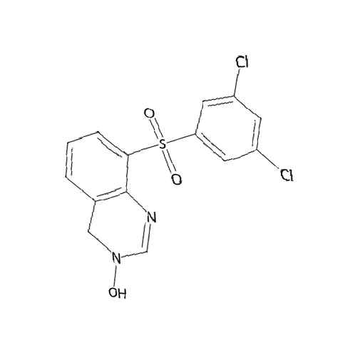 O=S(=O)(c1cc(Cl)cc(Cl)c1)c1cccc2c1N=CN(O)C2